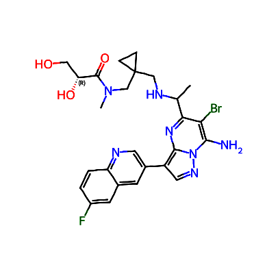 CC(NCC1(CN(C)C(=O)[C@H](O)CO)CC1)c1nc2c(-c3cnc4ccc(F)cc4c3)cnn2c(N)c1Br